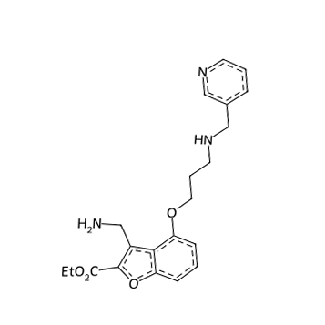 CCOC(=O)c1oc2cccc(OCCCNCc3cccnc3)c2c1CN